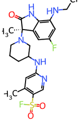 CCNc1cc(F)cc2c1NC(=O)[C@]2(C)N1CCCC(Nc2cc(C)c(S(=O)(=O)F)cn2)C1